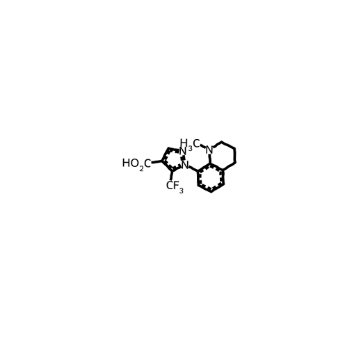 CN1CCCc2cccc(-n3ncc(C(=O)O)c3C(F)(F)F)c21